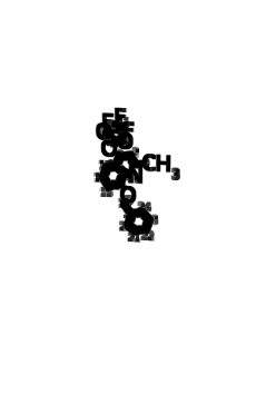 Cc1cc(OS(=O)(=O)C(F)(F)F)c2cccc(OCc3ccccc3)c2n1